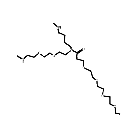 CCOCCOCCOCCOCCC(=O)N(CCCCNC)CCOCCOCCNC